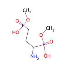 COP(=O)(O)CCC(N)P(=O)(O)OC